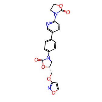 O=C1O[C@@H](COc2ccon2)CN1c1ccc(-c2ccc(N3CCOC3=O)nc2)cc1